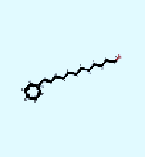 BrCCCCCCCCCCC=Cc1ccccc1